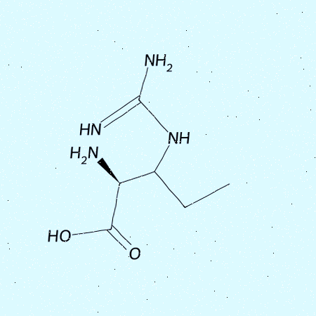 CCC(NC(=N)N)[C@H](N)C(=O)O